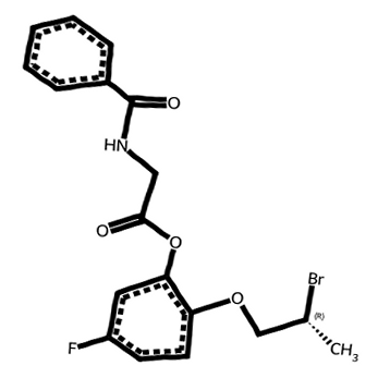 C[C@@H](Br)COc1ccc(F)cc1OC(=O)CNC(=O)c1ccccc1